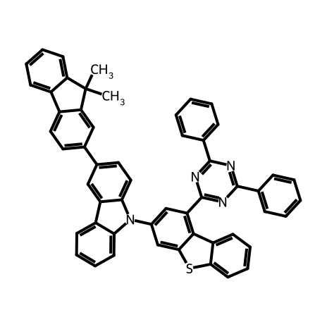 CC1(C)c2ccccc2-c2ccc(-c3ccc4c(c3)c3ccccc3n4-c3cc(-c4nc(-c5ccccc5)nc(-c5ccccc5)n4)c4c(c3)sc3ccccc34)cc21